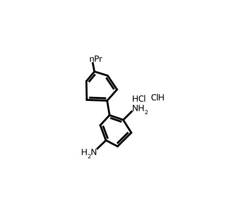 CCCc1ccc(-c2cc(N)ccc2N)cc1.Cl.Cl